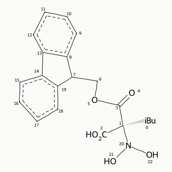 CCC(C)[C@](C(=O)O)(C(=O)OCC1c2ccccc2-c2ccccc21)N(O)O